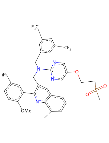 COc1ccc(C(C)C)cc1-c1nc2c(C)cccc2cc1CN(Cc1cc(C(F)(F)F)cc(C(F)(F)F)c1)c1ncc(OCCS(C)(=O)=O)cn1